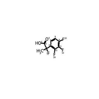 CC(F)(C(=O)O)c1ccc(F)c(F)c1F